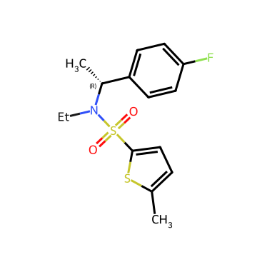 CCN([C@H](C)c1ccc(F)cc1)S(=O)(=O)c1ccc(C)s1